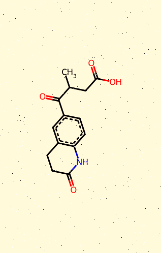 CC(CC(=O)O)C(=O)c1ccc2c(c1)CCC(=O)N2